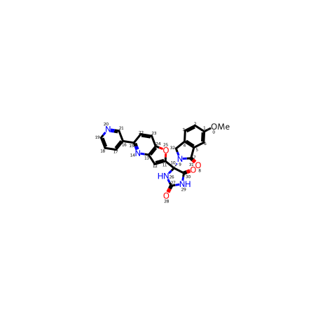 COc1ccc2c(c1)C(=O)N([C@@]1(c3cc4nc(-c5cccnc5)ccc4o3)NC(=O)NC1=O)C2